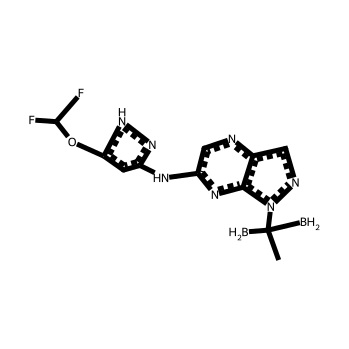 BC(B)(C)n1ncc2ncc(Nc3cc(OC(F)F)[nH]n3)nc21